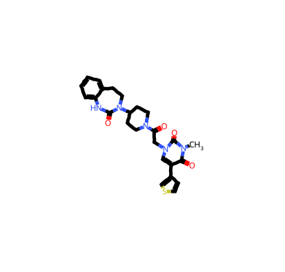 Cn1c(=O)c(-c2ccsc2)cn(CC(=O)N2CCC(N3CCc4ccccc4NC3=O)CC2)c1=O